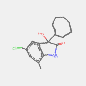 Cc1cc(Cl)cc2c1NC(=O)C2(O)C1CCCCCC1